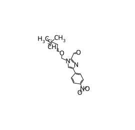 C[Si](C)(C)CCOCn1cc(-c2ccc([N+](=O)[O-])cc2)nc1C=O